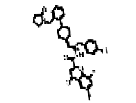 O=C(N[C@@H](C=C1CCC(c2ccccc2CN2CCCC2=O)CC1)Cc1ccc(Cl)cc1)c1cc(=O)c2cc(F)cc(F)c2o1